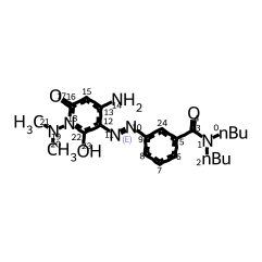 CCCCN(CCCC)C(=O)c1cccc(/N=N/c2c(N)cc(=O)n(N(C)C)c2O)c1